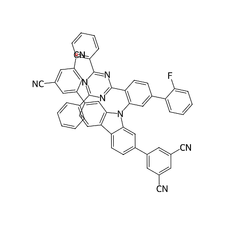 N#Cc1cc(C#N)cc(-c2ccc3c4ccc(-c5cc(C#N)cc(C#N)c5)cc4n(-c4cc(-c5ccccc5F)ccc4-c4nc(-c5ccccc5)nc(-c5ccccc5)n4)c3c2)c1